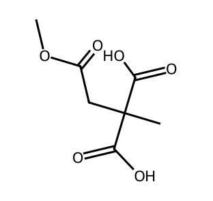 COC(=O)CC(C)(C(=O)O)C(=O)O